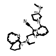 CCN(Cc1nc2cccc(N3CC[C@@H](N(C)C)C3)n2c1C#N)[C@H]1CCCc2cccnc21